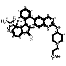 COCCN1CCC(Nc2ncc3cc(-c4ccccc4C4C(F)C(=O)C5=CC=CC(F)(S(N)(=O)=O)C54)ccc3n2)CC1